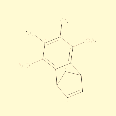 CC(=O)Oc1c(C#N)c(C#N)c(OC(C)=O)c2c1C1C=CC2C1